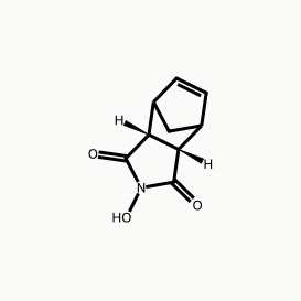 O=C1[C@@H]2C3C=CC(C3)[C@@H]2C(=O)N1O